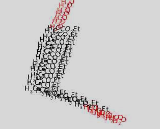 CCOC(C)=O.CCOC(C)=O.CCOC(C)=O.CCOC(C)=O.CCOC(C)=O.CCOC(C)=O.CCOC(C)=O.CCOC(C)=O.CCOC(C)=O.CCOC(C)=O.CCOC(C)=O.CCOC(C)=O.CCOC(C)=O.CCOC(C)=O.CCOC(C)=O.CCOC(C)=O.CCOC(C)=O.CCOC(C)=O.CCOC(C)=O.CCOC(C)=O.O.O.O.O.O.O.O.O.O.O.O.O.O.O.O